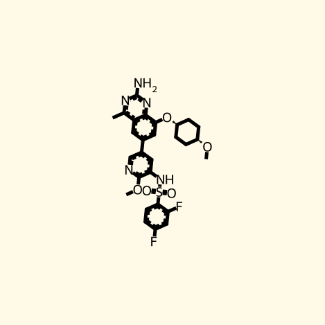 COc1ncc(-c2cc(O[C@H]3CC[C@@H](OC)CC3)c3nc(N)nc(C)c3c2)cc1NS(=O)(=O)c1ccc(F)cc1F